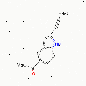 CCCCCCC#Cc1cc2cc(C(=O)OC)ccc2[nH]1